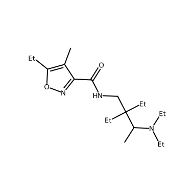 CCc1onc(C(=O)NCC(CC)(CC)C(C)N(CC)CC)c1C